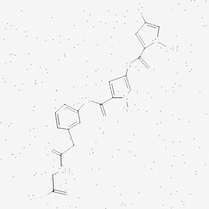 COC(=O)CNC(=O)Cc1cccc(NC(=O)c2cc(NC(=O)c3cc([N+](=O)[O-])cn3C)cn2C)c1